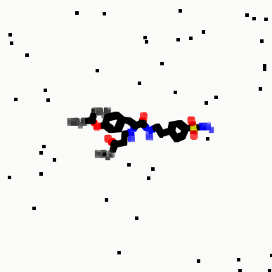 NS(=O)(=O)c1ccc(CCNC(=O)C(Cc2ccc(OC(C(=O)O)C(=O)O)cc2)NCCC(=O)C(=O)O)cc1